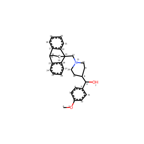 COc1ccc(C(O)C2CCN(CC34CCC(c5ccccc53)c3ccccc34)CC2)cc1